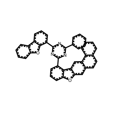 c1ccc(-c2nc(-c3cccc4c3oc3ccccc34)nc(-c3cccc4oc5cc6ccc7ccccc7c6cc5c34)n2)cc1